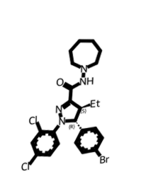 CC[C@@H]1C(C(=O)NN2CCCCCC2)=NN(c2ccc(Cl)cc2Cl)[C@H]1c1ccc(Br)cc1